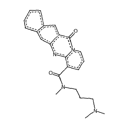 CN(C)CCCN(C)C(=O)c1cccn2c(=O)c3cc4ccccc4cc3nc12